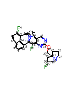 C#Cc1c(F)ccc2cccc(-c3ncc4cnc(OC[C@@]56CCCN5C[C@H](F)C6)nc4c3F)c12